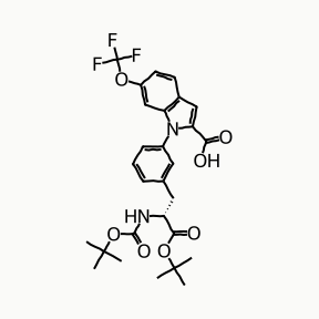 CC(C)(C)OC(=O)N[C@H](Cc1cccc(-n2c(C(=O)O)cc3ccc(OC(F)(F)F)cc32)c1)C(=O)OC(C)(C)C